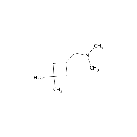 CN(C)CC1CC(C)(C)C1